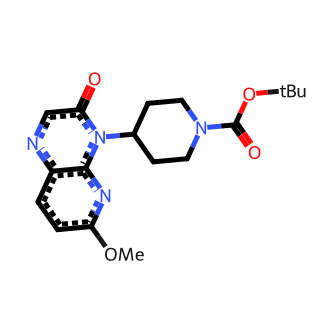 COc1ccc2ncc(=O)n(C3CCN(C(=O)OC(C)(C)C)CC3)c2n1